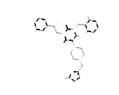 Cc1c(N2CCN(Cc3ccc(C(F)(F)F)o3)CC2)c(=O)n(C[C@H](N)c2cccc(C(=O)O)c2)c(=O)n1Cc1c(F)cccc1C(F)(F)F